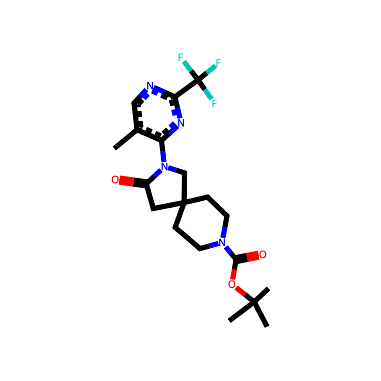 Cc1cnc(C(F)(F)F)nc1N1CC2(CCN(C(=O)OC(C)(C)C)CC2)CC1=O